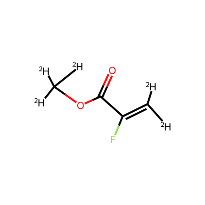 [2H]C([2H])=C(F)C(=O)OC([2H])([2H])[2H]